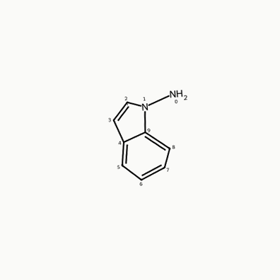 Nn1[c]cc2ccccc21